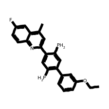 CCOc1cccc(-c2cc(P)c(-c3cc(C)c4cc(F)ccc4n3)cc2P)c1